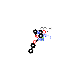 Nc1c(F)c(NCCOc2ccc(-c3ccccc3)cc2)c2c3c1c(=O)c(C(=O)O)cn3C1(CCCC1)CO2